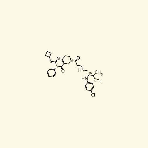 CC(C)[C@@H](CNCCC(=O)N1CCc2nc(SC3CCC3)n(-c3ccccc3)c(=O)c2C1)Nc1ccc(Cl)cc1